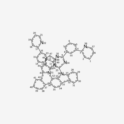 c1ccc(-c2cccc(-c3nc(-c4cccc(-c5ccccn5)c4)nc(-n4c5ccccc5c5ccc6c7ccccc7c7cc8ccccc8n7c6c54)n3)c2)nc1